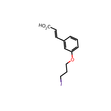 O=C(O)C=Cc1cccc(OCCCI)c1